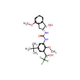 COc1cccc2c1C[C@@H](NC(=O)Nc1cc(C(C)(C)C)cc([C@@H](O)C(F)(F)F)c1OC)[C@H]2O